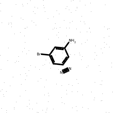 N#N.Nc1cccc(Br)c1